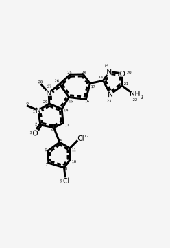 Cn1c(=O)c(-c2ccc(Cl)cc2Cl)cc2c3cc(-c4noc(N)n4)ccc3n(C)c21